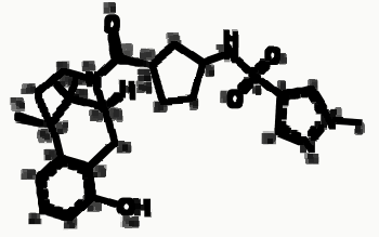 Cn1cc(S(=O)(=O)NC2CC[C@@H](C(=O)N3CC[C@@]4(C)c5cccc(O)c5C[C@@H]3C4(C)C)C2)cn1